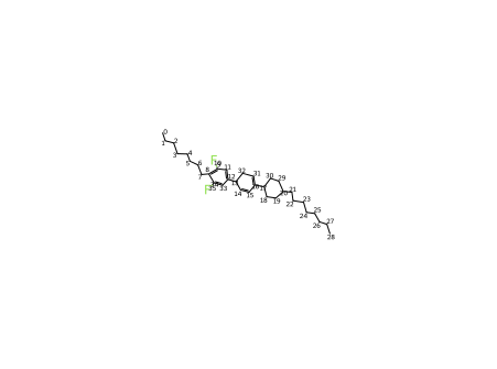 CCCCCCCCc1c(F)cc(C2C=CC(C3CCC(CCCCCCCC)CC3)=CC2)cc1F